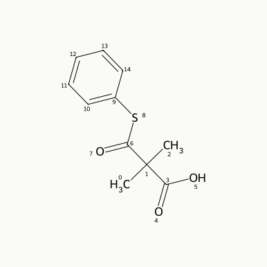 CC(C)(C(=O)O)C(=O)Sc1ccccc1